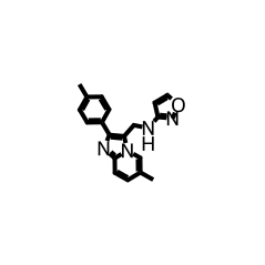 Cc1ccc(-c2nc3ccc(C)cn3c2CNc2ccon2)cc1